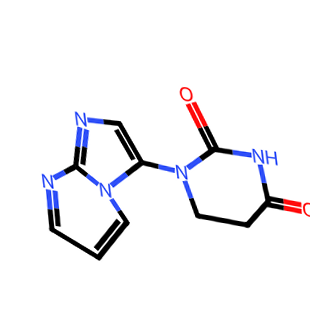 O=C1CCN(c2cnc3ncccn23)C(=O)N1